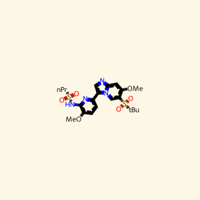 CCCS(=O)(=O)Nc1nc(-c2cnc3cc(OC)c(S(=O)(=O)C(C)(C)C)cn23)ccc1OC